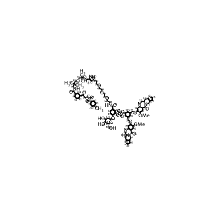 COC1=CC2C(=O)N3Cc4ccsc4CC3C=NC2C=C1OCc1cc(COc2cc3c(cc2OC)C(=O)N2Cc4ccsc4C[C@H]2C=N3)cc(OS(=O)(=O)Oc2cc(C(=O)NCCOCCOCCOCCn3cc(COC(C)(C)COCC(C)(C)CNC(=O)c4cccc(C(=O)CCS(=O)(=O)c5ccc(C)cc5)c4)nn3)ccc2O[C@H]2C[C@@H](O)C(O)[C@@H](CO)O2)c1